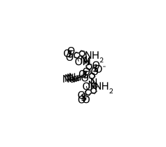 Nc1ccc2cc(S(=O)(=O)[O-])cc(O)c2c1N=Nc1ccc(-c2ccc(N=Nc3c(N)ccc4cc(S(=O)(=O)[O-])cc(O)c34)cc2S(=O)(=O)[O-])c(S(=O)(=O)[O-])c1.[Na+].[Na+].[Na+].[Na+]